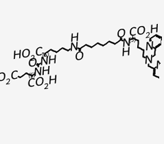 O=C(O)CC[C@H](NC(=O)N[C@@H](CCCCNC(=O)CCCCCCC(=O)N[C@@H](CCCCN(Cc1ccccn1)Cc1ccccn1)C(=O)O)C(=O)O)C(=O)O